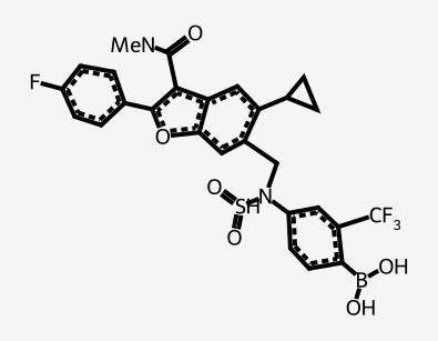 CNC(=O)c1c(-c2ccc(F)cc2)oc2cc(CN(c3ccc(B(O)O)c(C(F)(F)F)c3)[SH](=O)=O)c(C3CC3)cc12